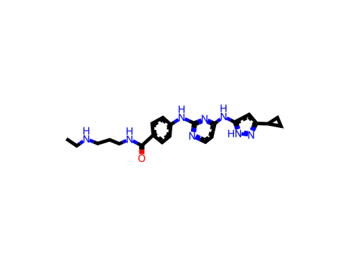 CCNCCCNC(=O)c1ccc(Nc2nccc(Nc3cc(C4CC4)n[nH]3)n2)cc1